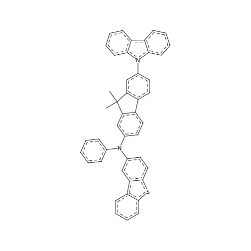 CC1(C)c2cc(N(c3ccccc3)c3ccc4sc5ccccc5c4c3)ccc2-c2ccc(-n3c4ccccc4c4ccccc43)cc21